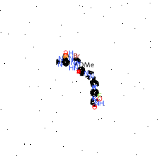 COc1cc(N2CCN(CC3CCN(c4ccc(N5CCC(=O)NC5=O)c(F)c4)CC3)CC2)c(C)cc1Nc1ncc(Br)c(Nc2ccc3nccnc3c2P(C)(C)=O)n1